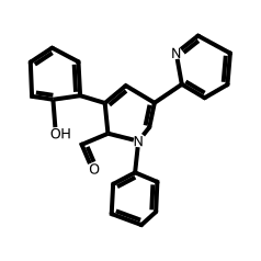 O=CC1C(c2ccccc2O)=CC(c2ccccn2)=CN1c1ccccc1